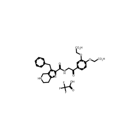 O=C(O)C(F)(F)F.O=C(O)COc1ccc(C(=O)CNC(=O)c2sc3c(c2Cc2ccccc2)CNCC3)cc1OCC(=O)O